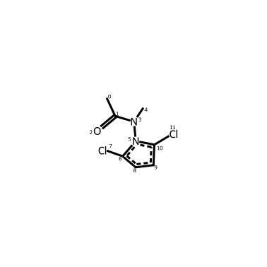 CC(=O)N(C)n1c(Cl)ccc1Cl